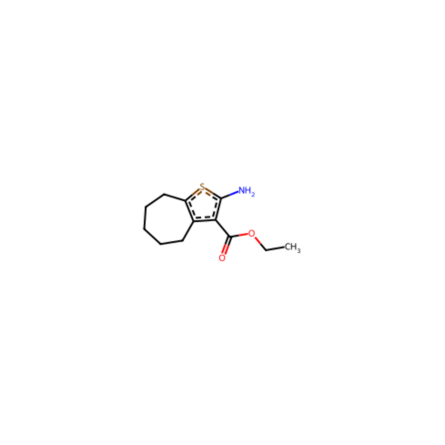 CCOC(=O)c1c(N)sc2c1CCCCC2